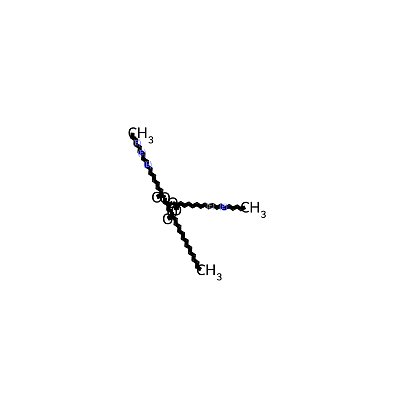 CC/C=C/C/C=C/C/C=C/CCCCCCCC(=O)OCC(COC(=O)CCCCCCCCCCCCCCC)OC(=O)CCCCCCC/C=C/C/C=C/CCCCC